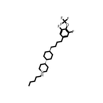 CCCCC[SiH]1CCC([C@H]2CC[C@H](CCCCc3cc(F)c(OC(F)(F)F)c(F)c3)CC2)CC1